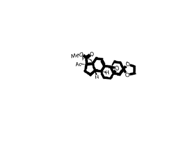 COC(=O)[C@]1(C(C)=O)CC[C@H]2[C@@H]3CCC45CC6(CC[C@]4(O5)C3=CC[C@@]21C)OCCO6